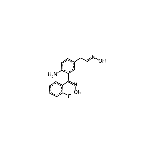 Nc1ccc(CC=NO)cc1C(=NO)c1ccccc1F